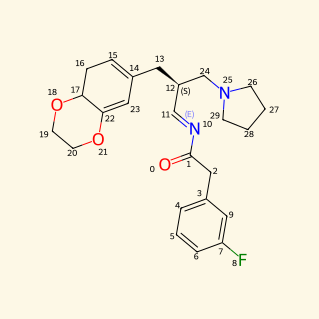 O=C(Cc1cccc(F)c1)/N=C/[C@@H](CC1=CCC2OCCOC2=C1)CN1CCCC1